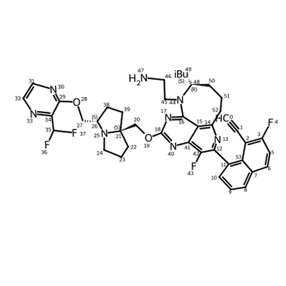 C#Cc1c(F)ccc2cccc(-c3nc4c5c(nc(OC[C@@]67CCCN6[C@H](COc6nccnc6C(F)F)CC7)nc5c3F)N(CCN)[C@@H]([C@@H](C)CC)CCC4)c12